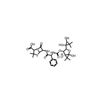 CC1(C)SC2C(NC(=O)C(NC(=O)O[C@H]3[C@@H]([C@]4(O)C(O)C4(C)C)OC4(O)C(C)(C)[C@@]34O)c3ccccc3)C(=O)N2C1C(=O)O